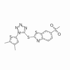 Cc1cc(-n2nnnc2Sc2nc3ccc(S(C)(=O)=O)cc3s2)sc1C